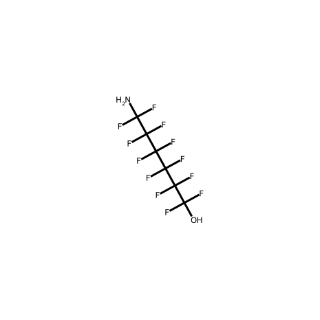 NC(F)(F)C(F)(F)C(F)(F)C(F)(F)C(F)(F)C(O)(F)F